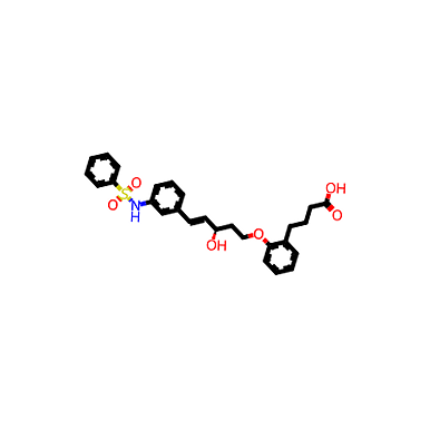 O=C(O)CCCc1ccccc1OCC[C@@H](O)/C=C/c1cccc(NS(=O)(=O)c2ccccc2)c1